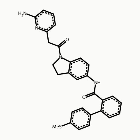 CSc1ccc(-c2ccccc2C(=O)Nc2ccc3c(c2)CCN3C(=O)Cc2cccc(N)n2)cc1